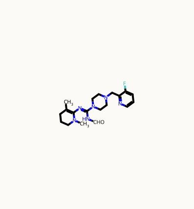 CC1=C(/N=C(\NC=O)N2CCN(Cc3ncccc3F)CC2)N(C)CCC1